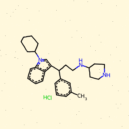 Cc1cccc(C(CCNC2CCNCC2)c2cn(C3CCCCC3)c3ccccc23)c1.Cl